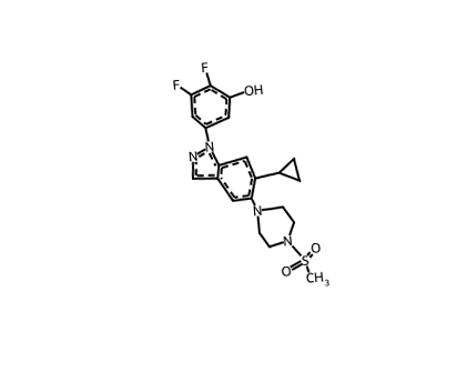 CS(=O)(=O)N1CCN(c2cc3cnn(-c4cc(O)c(F)c(F)c4)c3cc2C2CC2)CC1